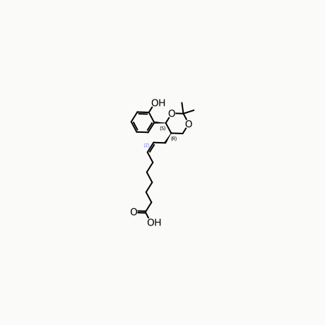 CC1(C)OC[C@@H](C/C=C\CCCCCC(=O)O)[C@@H](c2ccccc2O)O1